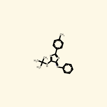 Cc1ccc(C2=N/C(=N\c3ccccc3)C(NC(C)(C)C)=N2)cc1